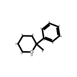 CC1(c2ccccc2)CCCCO1